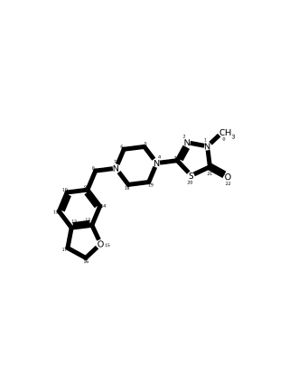 Cn1nc(N2CCN(Cc3ccc4c(c3)OCC4)CC2)sc1=O